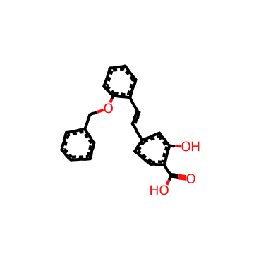 O=C(O)c1ccc(C=Cc2ccccc2OCc2ccccc2)cc1O